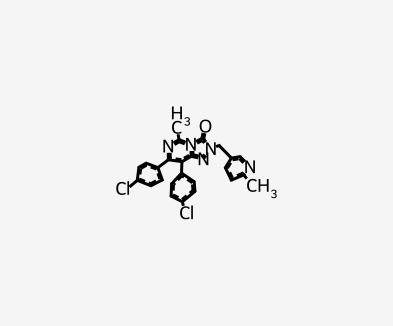 Cc1ccc(Cn2nc3c(-c4ccc(Cl)cc4)c(-c4ccc(Cl)cc4)nc(C)n3c2=O)cn1